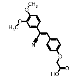 COc1ccc(/C(C#N)=C/c2ccc(OCC(=O)O)cc2)cc1OC